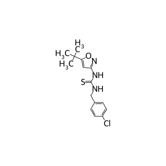 CC(C)(C)c1cc(NC(=S)NCc2ccc(Cl)cc2)no1